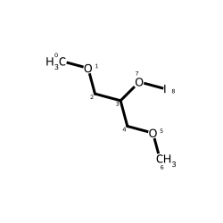 COCC(COC)OI